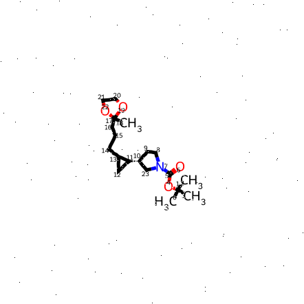 CC(C)(C)OC(=O)N1CC[C@@H](C2CC2CCCC2(C)OCCO2)C1